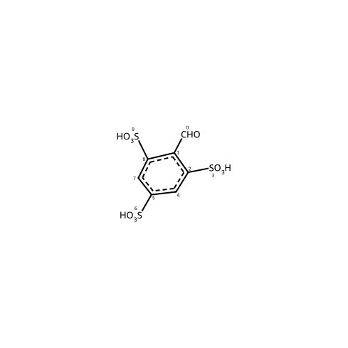 O=Cc1c(S(=O)(=O)O)cc(S(=O)(=O)O)cc1S(=O)(=O)O